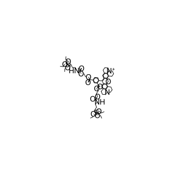 CCO[Si](CCCNC(=O)OCCOC(=O)c1ccc(C2=c3cc4c5c(c3Oc3c2cc2c6c3CCCN6CCC2)CCC[N+]=5CCC4)c(C(=O)OCCOC(=O)NCCC[Si](OCC)(OCC)OCC)c1)(OCC)OCC